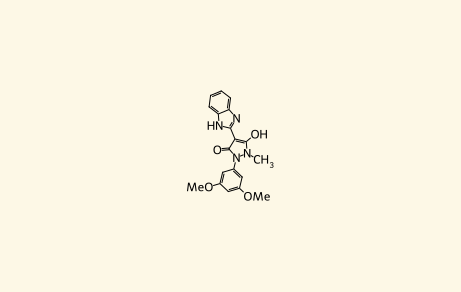 COc1cc(OC)cc(-n2c(=O)c(-c3nc4ccccc4[nH]3)c(O)n2C)c1